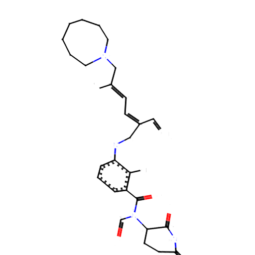 C=C/C(=C\C=C(/C)CN1CCCCCCC1)CNc1cccc(C(=O)N(C=O)C2CCC(=O)NC2=O)c1C